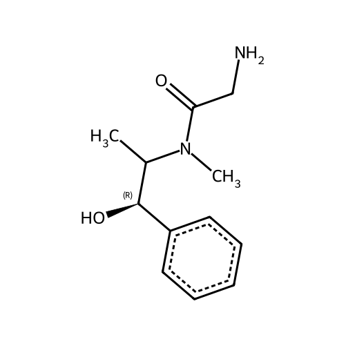 CC([C@H](O)c1ccccc1)N(C)C(=O)CN